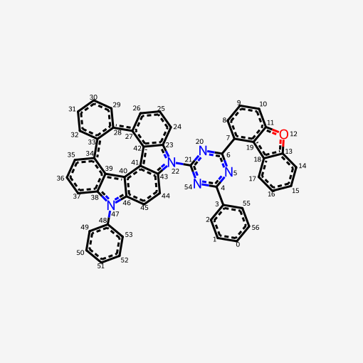 c1ccc(-c2nc(-c3cccc4oc5ccccc5c34)nc(-n3c4cccc5c6ccccc6c6cccc7c6c6c(c54)c3ccc6n7-c3ccccc3)n2)cc1